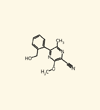 COc1nc(-c2ccccc2CO)c(C)nc1C#N